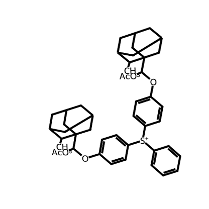 CC(=O)OC(Oc1ccc([S+](c2ccccc2)c2ccc(OC(OC(C)=O)C34CC5CC(CC(C5)C3C)C4)cc2)cc1)C12CC3CC(CC(C3)C1C)C2